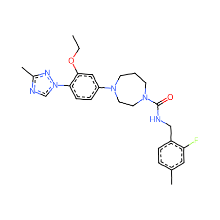 CCOc1cc(N2CCCN(C(=O)NCc3ccc(C)cc3F)CC2)ccc1-n1cnc(C)n1